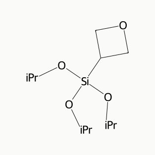 CC(C)O[Si](OC(C)C)(OC(C)C)C1COC1